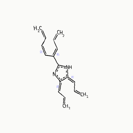 C=C/C=C\C(=C/C=C)c1nc(=C/C=C)/c(=C\C=C)[nH]1